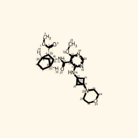 COC(=O)[C@H]1[C@@H]2CC[C@@H](C2)[C@H]1NC(=O)c1c(NC23CC(N4CCOCC4)(C2)C3)ncnc1OC